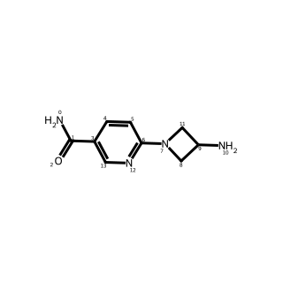 NC(=O)c1ccc(N2CC(N)C2)nc1